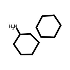 C1CCCCC1.NC1CCCCC1